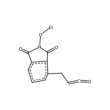 CCON1C(=O)c2cccc(CC=C=O)c2C1=O